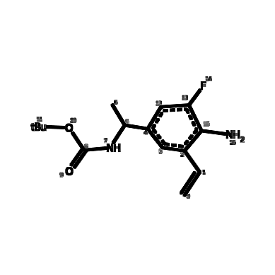 C=Cc1cc(C(C)NC(=O)OC(C)(C)C)cc(F)c1N